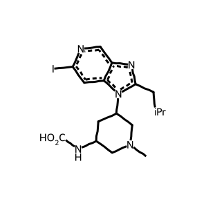 CC(C)Cc1nc2cnc(I)cc2n1C1CC(NC(=O)O)CN(C)C1